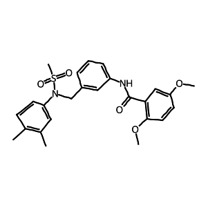 COc1ccc(OC)c(C(=O)Nc2cccc(CN(c3ccc(C)c(C)c3)S(C)(=O)=O)c2)c1